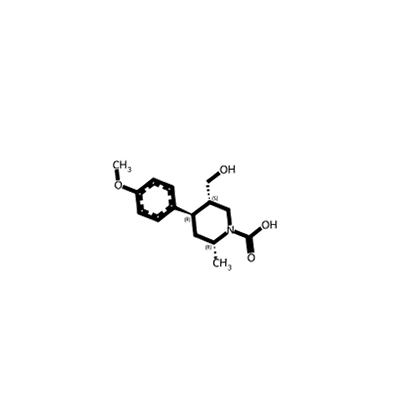 COc1ccc([C@@H]2C[C@@H](C)N(C(=O)O)C[C@H]2CO)cc1